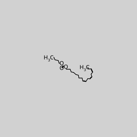 CC/C=C\C/C=C\C/C=C\CCCCCCCCOC(=O)OCCCCC